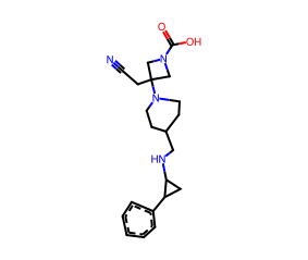 N#CCC1(N2CCC(CNC3CC3c3ccccc3)CC2)CN(C(=O)O)C1